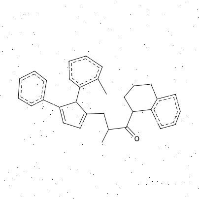 Cc1ccccc1C1C(CC(C)C(=O)C2CCCc3ccccc32)=CC=C1c1ccccc1